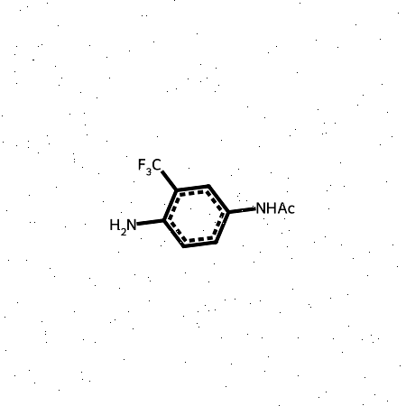 CC(=O)Nc1ccc(N)c(C(F)(F)F)c1